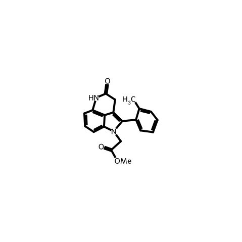 COC(=O)Cn1c(-c2ccccc2C)c2c3c(cccc31)NC(=O)C2